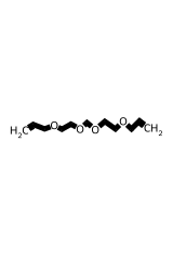 C=CCOCCOCOCCOCC=C